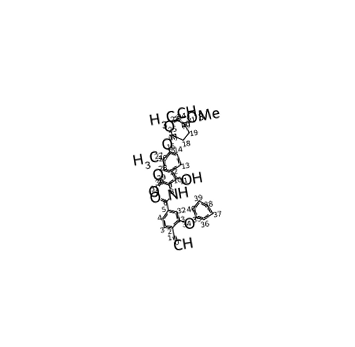 C#Cc1ccc(C(=O)Nc2c(O)c3ccc(O[C@H]4CC[C@@H](OC)C(C)(C)O4)c(C)c3oc2=O)cc1Oc1ccccc1